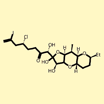 C=C(I)C[C@H](Cl)CCC(=O)[C@H](O)C1(O)O[C@@H]2C(O[C@H]3CC[C@H](CC)O[C@@H]3[C@@H]2C)[C@H]1O